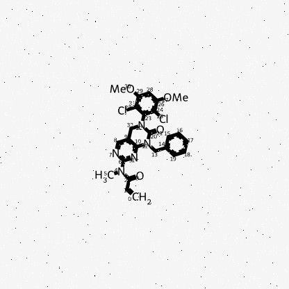 C=CC(=O)N(C)c1ncc2c(n1)N(Cc1ccccc1)C(=O)N(c1c(Cl)c(OC)cc(OC)c1Cl)C2